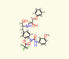 COc1cccc(NC(=O)N(OC(=O)C(F)(F)F)c2ccc(C[C@@H](CO)NC[C@H](O)COc3ccccc3)cc2)c1